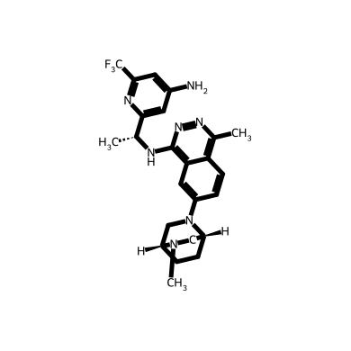 Cc1nnc(N[C@H](C)c2cc(N)cc(C(F)(F)F)n2)c2cc(N3C[C@H]4CC[C@@H]3CN4C)ccc12